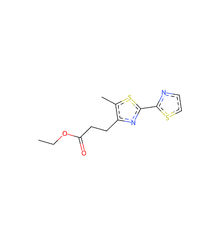 CCOC(=O)CCc1nc(-c2nccs2)sc1C